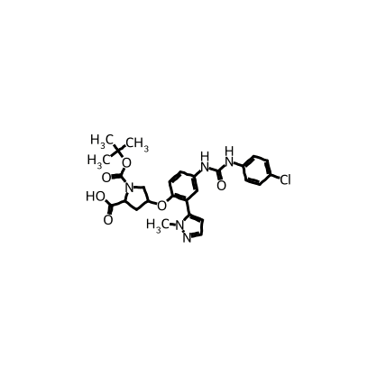 Cn1nccc1-c1cc(NC(=O)Nc2ccc(Cl)cc2)ccc1OC1CC(C(=O)O)N(C(=O)OC(C)(C)C)C1